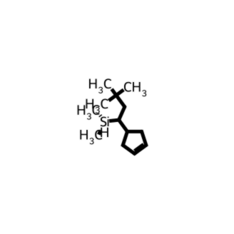 C[SiH](C)C(CC(C)(C)C)C1CC=CC1